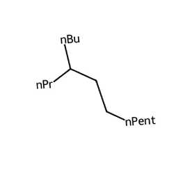 [CH2]CCCC(CCC)CCCCCCC